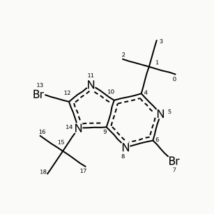 CC(C)(C)c1nc(Br)nc2c1nc(Br)n2C(C)(C)C